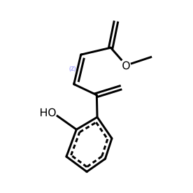 C=C(/C=C\C(=C)c1ccccc1O)OC